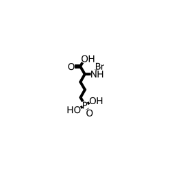 O=C(O)C(CCCP(=O)(O)O)NBr